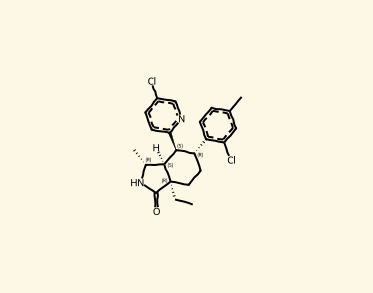 CC[C@@]12CC[C@@H](c3ccc(C)cc3Cl)[C@H](c3ccc(Cl)cn3)[C@@H]1[C@@H](C)NC2=O